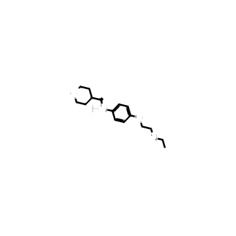 CCNCCOc1ccc(NC(=O)C2CCOCC2)cc1